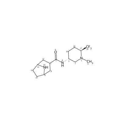 CN1C[C@H](NC(=O)C2CC3CCC(C2)N3)CC[C@H]1C(F)(F)F